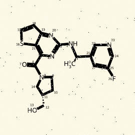 C[C@H](Nc1nc(C(=O)N2CC[C@H](CO)C2)c2sccc2n1)c1cncc(F)c1